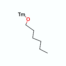 CCCCCC[O][Tm]